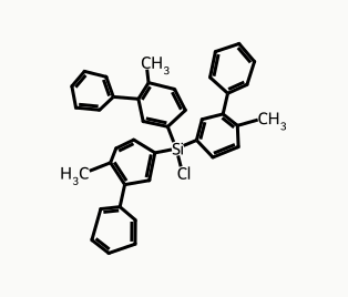 Cc1ccc([Si](Cl)(c2ccc(C)c(-c3ccccc3)c2)c2ccc(C)c(-c3ccccc3)c2)cc1-c1ccccc1